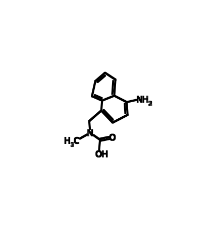 CN(Cc1ccc(N)c2ccccc12)C(=O)O